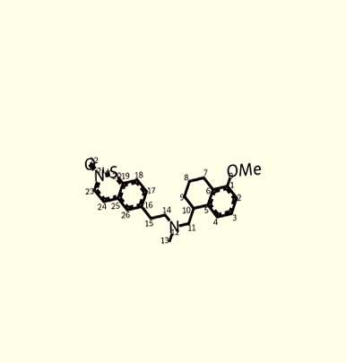 COc1cccc2c1CCCC2CN(C)CCc1ccc2s[n+](=O)ccc2c1